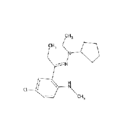 CC/C(=N\N(CC)C1CCCC1)c1cc(Cl)ccc1NC